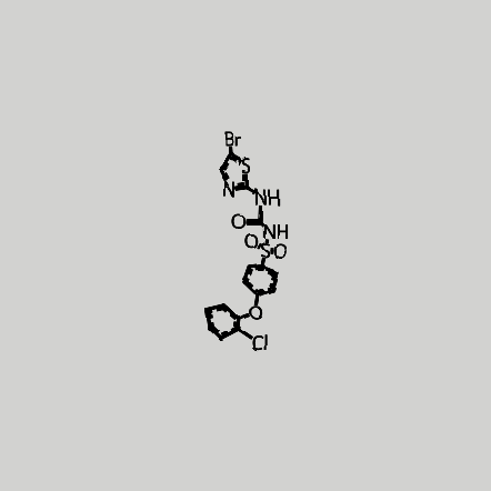 O=C(Nc1ncc(Br)s1)NS(=O)(=O)c1ccc(Oc2ccccc2Cl)cc1